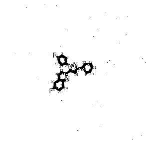 Fc1ccc(-n2nc(-c3ccccc3)cc2-c2ccc3cc(F)ccc3n2)cc1